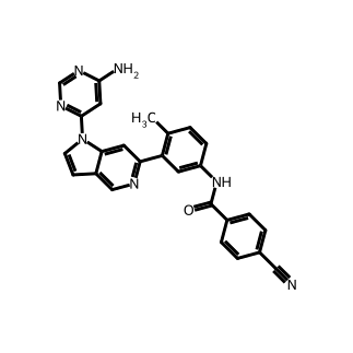 Cc1ccc(NC(=O)c2ccc(C#N)cc2)cc1-c1cc2c(ccn2-c2cc(N)ncn2)cn1